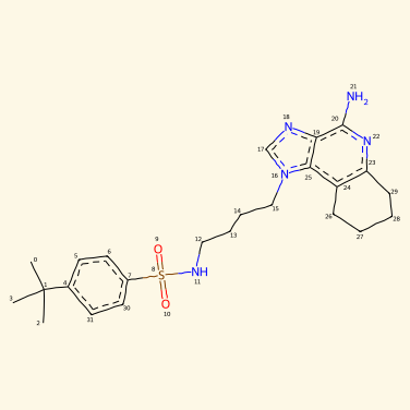 CC(C)(C)c1ccc(S(=O)(=O)NCCCCn2cnc3c(N)nc4c(c32)CCCC4)cc1